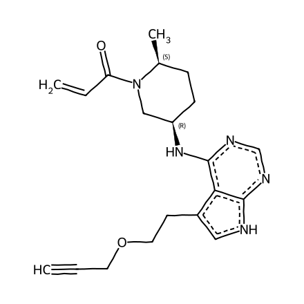 C#CCOCCc1c[nH]c2ncnc(N[C@@H]3CC[C@H](C)N(C(=O)C=C)C3)c12